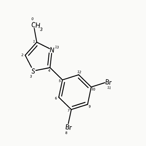 Cc1csc(-c2cc(Br)cc(Br)c2)n1